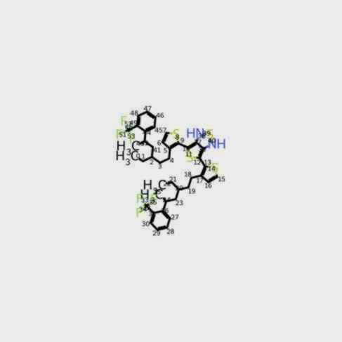 CCC(CCc1ccsc1-c1sc(-c2sccc2CCC(CC)CC(C)c2ccccc2C(F)(F)F)c2c1NSN2)CC(C)c1ccccc1C(F)(F)F